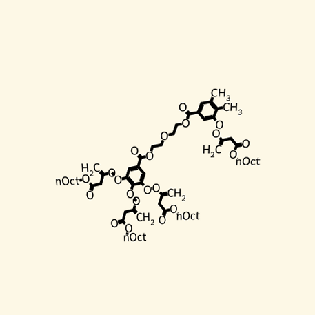 C=C(CC(=O)OCCCCCCCC)OOc1cc(C(=O)OCCOCCOC(=O)c2cc(OOC(=C)CC(=O)OCCCCCCCC)c(OOC(=C)CC(=O)OCCCCCCCC)c(OOC(=C)CC(=O)OCCCCCCCC)c2)cc(C)c1C